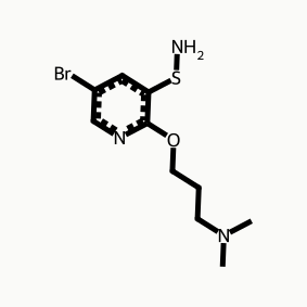 CN(C)CCCOc1ncc(Br)cc1SN